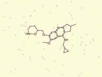 COc1cc2c(NCC3CC3)c3c(nc2cc1OCC1CCCNO1)CC(C)C3